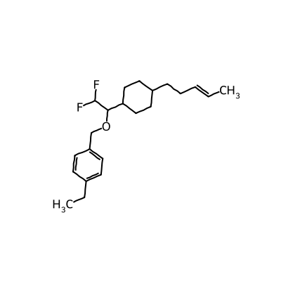 C/C=C/CCC1CCC(C(OCc2ccc(CC)cc2)C(F)F)CC1